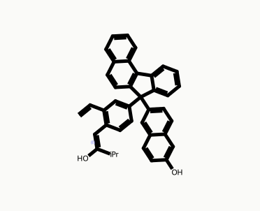 C=Cc1cc(C2(c3ccc4cc(O)ccc4c3)c3ccccc3-c3c2ccc2ccccc32)ccc1/C=C(/O)C(C)C